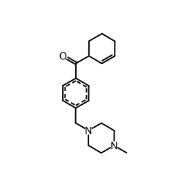 CN1CCN(Cc2ccc(C(=O)C3C=CCCC3)cc2)CC1